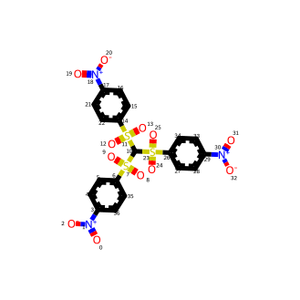 O=[N+]([O-])c1ccc(S(=O)(=O)C(S(=O)(=O)c2ccc([N+](=O)[O-])cc2)S(=O)(=O)c2ccc([N+](=O)[O-])cc2)cc1